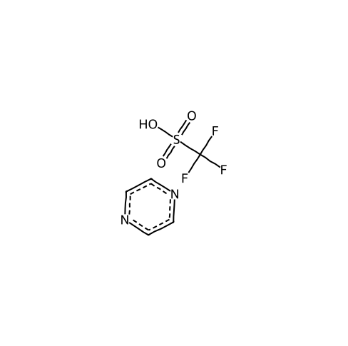 O=S(=O)(O)C(F)(F)F.c1cnccn1